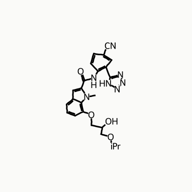 CC(C)OCC(O)COc1cccc2cc(C(=O)Nc3ccc(C#N)cc3-c3nnn[nH]3)n(C)c12